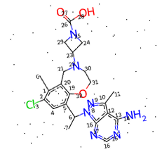 Cc1c(Cl)cc(C(C)n2nc(C)c3c(N)ncnc32)c2c1CN(C1CN(C(=O)O)C1)CCO2